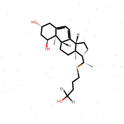 CCC(O)(CC)CCCS[C@@H](C)[C@H]1CC[C@H]2C3=CC=C4C[C@@H](O)C[C@H](O)[C@]4(C)[C@H]3CC[C@]12C